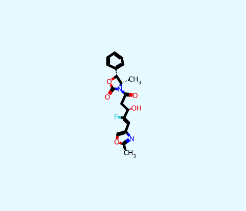 Cc1nc(/C=C(\F)[C@@H](O)CC(=O)N2C(=O)O[C@H](c3ccccc3)[C@@H]2C)co1